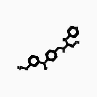 N#CN=C(NCc1ccc([S+]([O-])c2cccc(OC(F)(F)F)c2)cc1)Nc1ccncc1